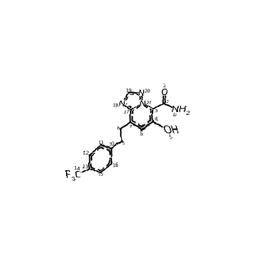 NC(=O)c1c(O)cc(CCc2ccc(C(F)(F)F)cc2)c2ncnn12